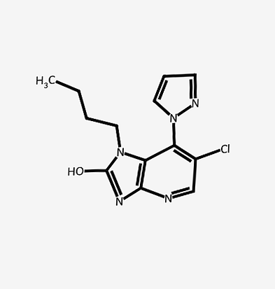 CCCCn1c(O)nc2ncc(Cl)c(-n3cccn3)c21